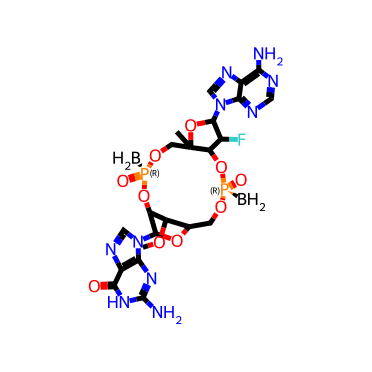 B[P@@]1(=O)OCC2(C)OC(n3cnc4c(N)ncnc43)C(F)C2O[P@](B)(=O)OCC2OC(n3cnc4c(=O)[nH]c(N)nc43)C(O1)C2OC